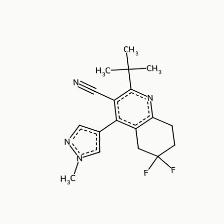 Cn1cc(-c2c(C#N)c(C(C)(C)C)nc3c2CC(F)(F)CC3)cn1